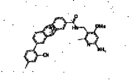 COc1cc(N)nc(C)c1CNC(=O)c1ccc2c(c1)c1oc2c2ccc(-c3ccc(C)cc3C#N)cc21